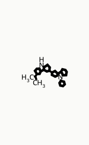 CCC(C)c1ccc2[nH]c3ccc(-c4ccc5c(c4)c4ccccc4n5-c4ccccc4)cc3c2c1